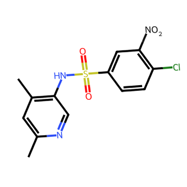 Cc1cc(C)c(NS(=O)(=O)c2ccc(Cl)c([N+](=O)[O-])c2)cn1